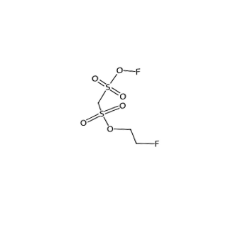 O=S(=O)(CS(=O)(=O)OCCF)OF